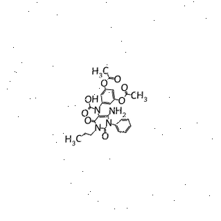 CCCn1c(=O)c(N(C(=O)O)c2cc(OC(C)=O)cc(OC(C)=O)c2)c(N)n(-c2ccccc2)c1=O